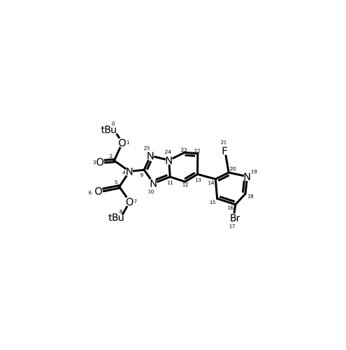 CC(C)(C)OC(=O)N(C(=O)OC(C)(C)C)c1nc2cc(-c3cc(Br)cnc3F)ccn2n1